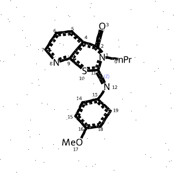 CCCn1c(=O)c2cccnc2s/c1=N\c1ccc(OC)cc1